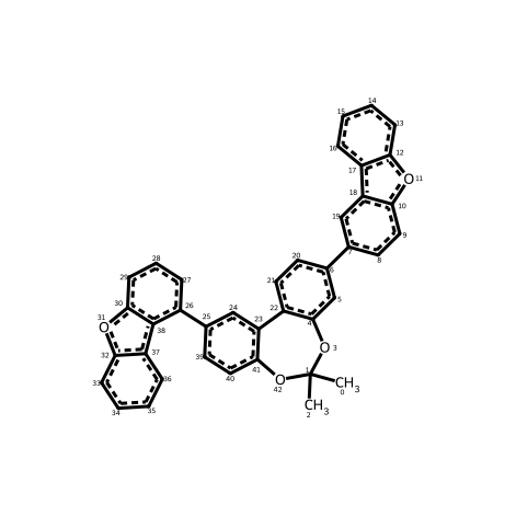 CC1(C)Oc2cc(-c3ccc4oc5ccccc5c4c3)ccc2-c2cc(-c3cccc4oc5ccccc5c34)ccc2O1